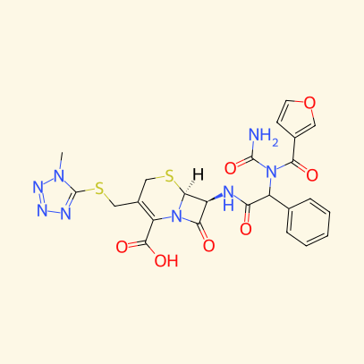 Cn1nnnc1SCC1=C(C(=O)O)N2C(=O)[C@H](NC(=O)C(c3ccccc3)N(C(N)=O)C(=O)c3ccoc3)[C@@H]2SC1